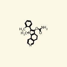 Cc1ccccc1-c1c(OC(N)=O)c2c(n1C)-c1ccncc1CC2